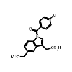 COCc1ccc2c(c1)c(CC(=O)O)cn2C(=O)c1ccc(Cl)cc1